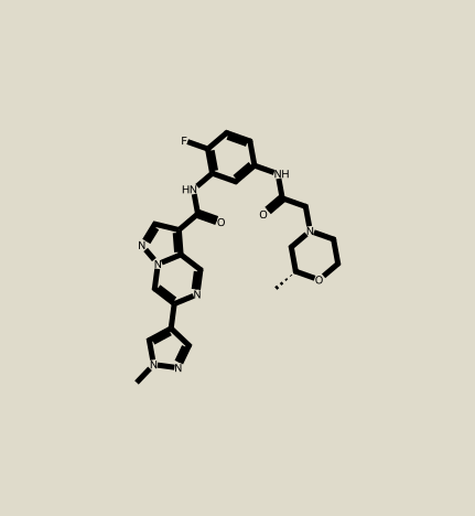 C[C@@H]1CN(CC(=O)Nc2ccc(F)c(NC(=O)c3cnn4cc(-c5cnn(C)c5)ncc34)c2)CCO1